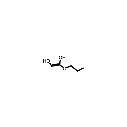 CCCOC(O)=CO